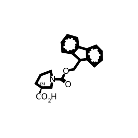 O=C(O)[C@H]1CCCN(C(=O)OCC2c3ccccc3-c3ccccc32)C1